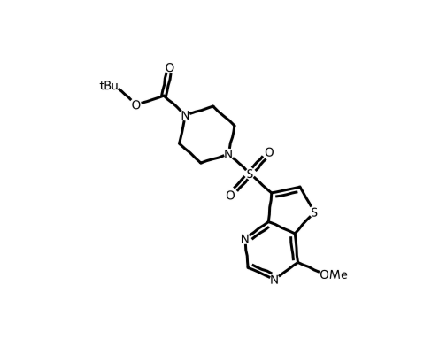 COc1ncnc2c(S(=O)(=O)N3CCN(C(=O)OC(C)(C)C)CC3)csc12